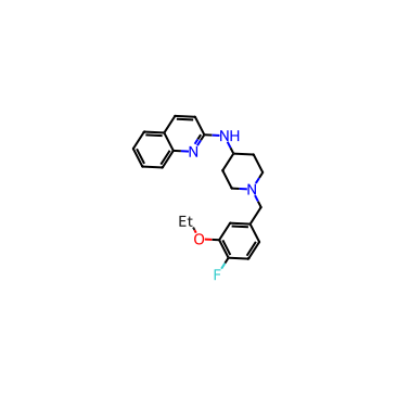 CCOc1cc(CN2CCC(Nc3ccc4ccccc4n3)CC2)ccc1F